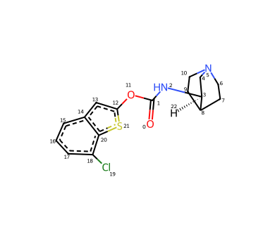 O=C(N[C@H]1CN2CCC1CC2)Oc1cc2cccc(Cl)c2s1